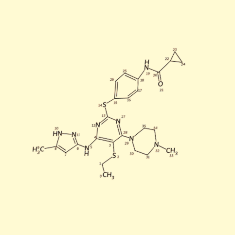 CCSc1c(Nc2cc(C)[nH]n2)nc(Sc2ccc(NC(=O)C3CC3)cc2)nc1N1CCN(C)CC1